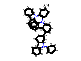 N#Cc1ccc(-n2c3ccccc3c3c(-c4ccc5c6ccccc6n(-c6ccccc6)c5c4)cccc32)c(-n2c3ccccc3c3ccccc32)c1